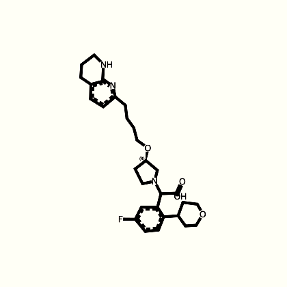 O=C(O)C(c1cc(F)ccc1C1CCOCC1)N1CC[C@@H](OCCCCc2ccc3c(n2)NCCC3)C1